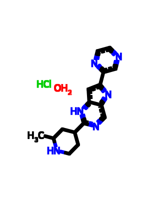 CC1CC(c2ncc3nc(-c4cnccn4)cc-3[nH]2)CCN1.Cl.O